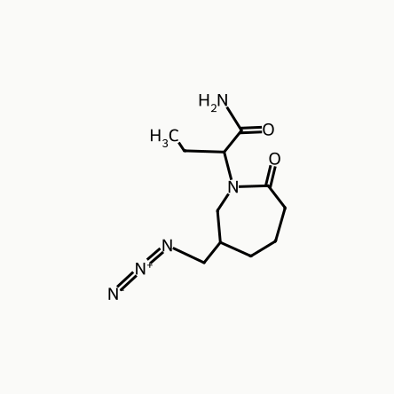 CCC(C(N)=O)N1CC(CN=[N+]=[N-])CCCC1=O